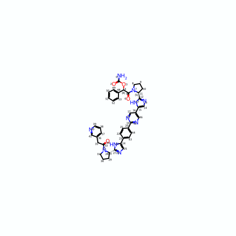 NC(=O)O[C@@H](C(=O)N1CCC[C@H]1c1ncc(-c2cnc(-c3ccc(-c4cnc([C@@H]5CCCN5C(=O)Cc5cccnc5)[nH]4)cc3)nc2)[nH]1)c1ccccc1